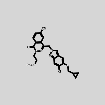 CCOC(=O)CCn1nc(Cn2cc3cc(OCC4CC4)c(Cl)cc3n2)c2cc(C#N)ccc2c1=O